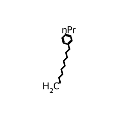 C=CCCCCCCCCc1ccc(CCC)cc1